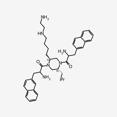 CC(C)C[C@@H]1CN(C(=O)C(N)Cc2ccc3ccccc3c2)[C@@H](CCCCNCCN)CN1C(=O)C(N)Cc1ccc2ccccc2c1